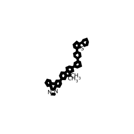 CC1(C)c2cc(-c3cccc(C4C=CC(c5cccc6c5SC5C=CC=CC65)=CC4)c3)ccc2-c2ccc(-c3ccc4c(c3)c3ccccc3c3nccnc43)cc21